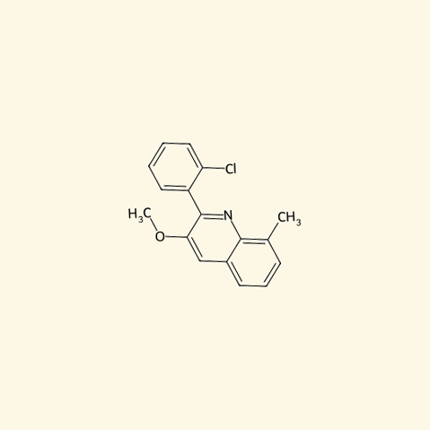 COc1cc2cccc(C)c2nc1-c1ccccc1Cl